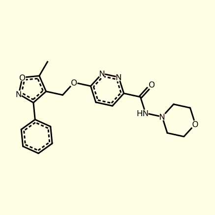 Cc1onc(-c2ccccc2)c1COc1ccc(C(=O)NN2CCOCC2)nn1